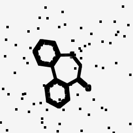 O=C1CSc2ccccc2-c2ccccc21